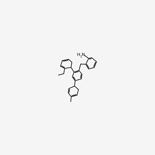 CCC1=CC=CCC1c1cc(C2C=CC(C)=CC2)ccc1Cc1ccccc1N